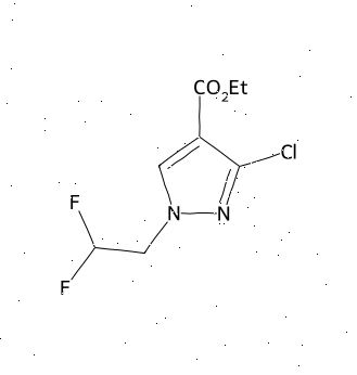 CCOC(=O)c1cn(CC(F)F)nc1Cl